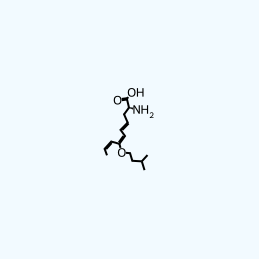 C\C=C/C(=C\C=C\C[C@H](N)C(=O)O)OCCC(C)C